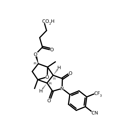 CC12C[C@@H](OC(=O)CCC(=O)O)C(C)(O1)[C@H]1C(=O)N(c3ccc(C#N)c(C(F)(F)F)c3)C(=O)[C@H]12